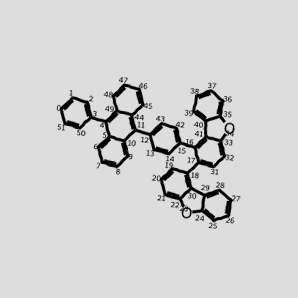 c1ccc(-c2c3ccccc3c(-c3ccc(-c4c(-c5cccc6oc7ccccc7c56)ccc5oc6ccccc6c45)cc3)c3ccccc23)cc1